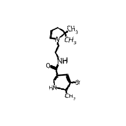 CC1NC=C(C(=O)NCCN2CCCC2(C)C)C=C1Br